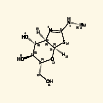 CC[C@@H](C)NC1=N[C@@H]2[C@@H](O)[C@H](O)[C@@H](CO)O[C@@H]2S1